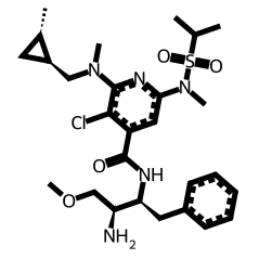 COC[C@H](N)[C@H](Cc1ccccc1)NC(=O)c1cc(N(C)S(=O)(=O)C(C)C)nc(N(C)C[C@H]2C[C@@H]2C)c1Cl